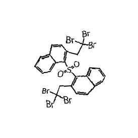 O=S(=O)(c1c(CC(Br)(Br)Br)ccc2ccccc12)c1c(CC(Br)(Br)Br)ccc2ccccc12